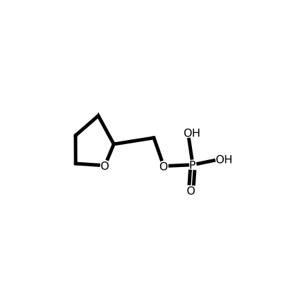 O=P(O)(O)OCC1[CH]CCO1